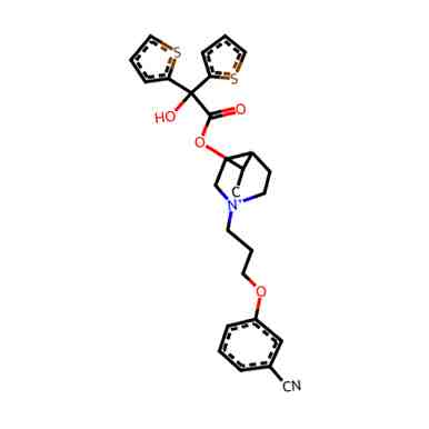 N#Cc1cccc(OCCC[N+]23CCC(CC2)C(OC(=O)C(O)(c2cccs2)c2cccs2)C3)c1